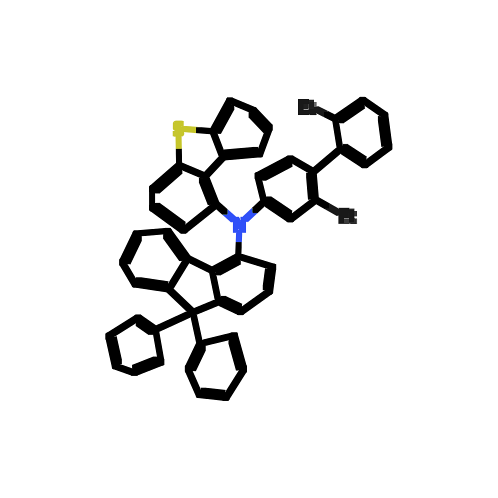 CCc1ccccc1-c1ccc(N(c2cccc3c2-c2ccccc2C3(c2ccccc2)c2ccccc2)c2cccc3sc4ccccc4c23)cc1CC